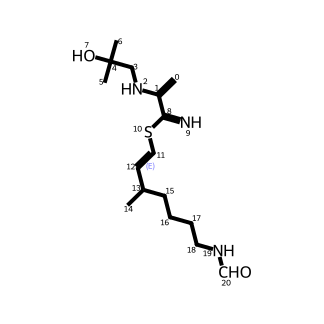 C=C(NCC(C)(C)O)C(=N)S/C=C/C(C)CCCCNC=O